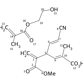 C=C(C(=O)OC)C(C=CC#N)C=C(C)C(=O)O.C=C(C)C(=O)OCCO